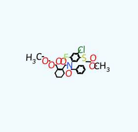 CCOCOC(=O)C1=C(C(=O)N(C(=O)c2ccccc2)c2cc(SCC(=O)OC)c(Cl)cc2F)CCCC1